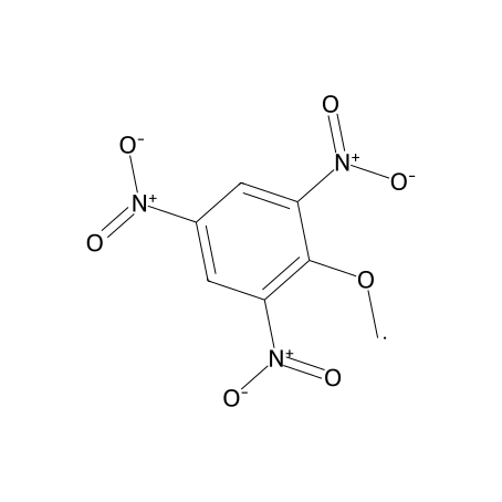 [CH2]Oc1c([N+](=O)[O-])cc([N+](=O)[O-])cc1[N+](=O)[O-]